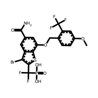 COc1ccc(COc2cc(C(N)=O)cc3c(Br)c(C(F)(F)P(=O)(O)O)sc23)c(C(F)(F)F)c1